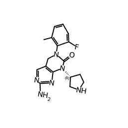 Cc1cccc(F)c1N1Cc2cnc(N)nc2N([C@@H]2CCNC2)C1=O